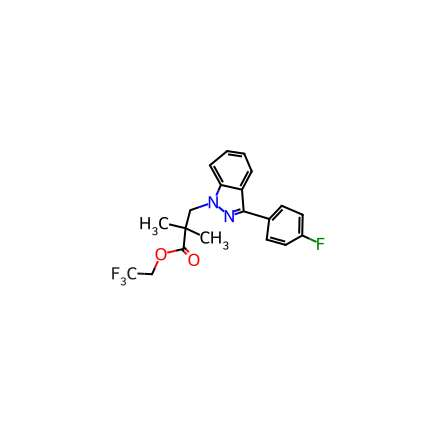 CC(C)(Cn1nc(-c2ccc(F)cc2)c2ccccc21)C(=O)OCC(F)(F)F